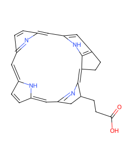 O=C(O)CCC1Cc2cc3ccc(cc4nc(cc5cc6c([nH]5)c(c1n2)CC6)C=C4)[nH]3